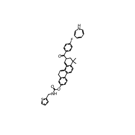 C1=CC=CNC=C1.CC1(C)CC(C(=O)c2ccc(F)cc2)C=c2c1ccc1c2=CCc2cc(OC(=O)NCc3cccs3)ccc2-1